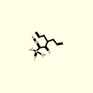 C=CCC(CC=C)C(=O)C(=[N+]=[N-])P(=O)(O)O